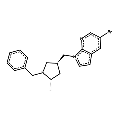 C[C@H]1C[C@H](Cn2ccc3cc(Br)cnc32)CN1Cc1ccccc1